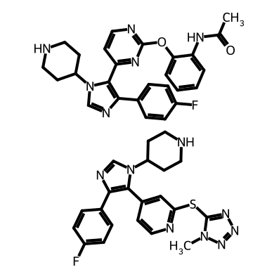 CC(=O)Nc1ccccc1Oc1nccc(-c2c(-c3ccc(F)cc3)ncn2C2CCNCC2)n1.Cn1nnnc1Sc1cc(-c2c(-c3ccc(F)cc3)ncn2C2CCNCC2)ccn1